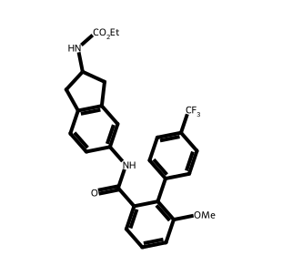 CCOC(=O)NC1Cc2ccc(NC(=O)c3cccc(OC)c3-c3ccc(C(F)(F)F)cc3)cc2C1